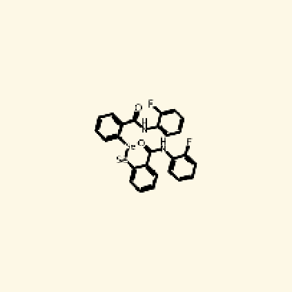 O=C(Nc1ccccc1F)c1ccccc1[Se][Se]c1ccccc1C(=O)Nc1ccccc1F